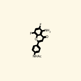 CC(=O)Nc1ccc(-c2cc(=O)c3c(N)c(F)cc(F)c3o2)cc1